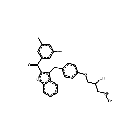 Cc1cc(C)cc(C(=O)c2oc3ccccc3c2Cc2ccc(OCC(O)CNC(C)C)cc2)c1